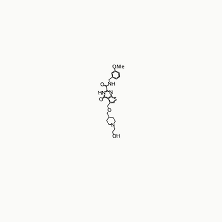 COc1cccc(CNC(=O)c2nc3scc(COCC4CCN(CCO)CC4)c3c(=O)[nH]2)c1